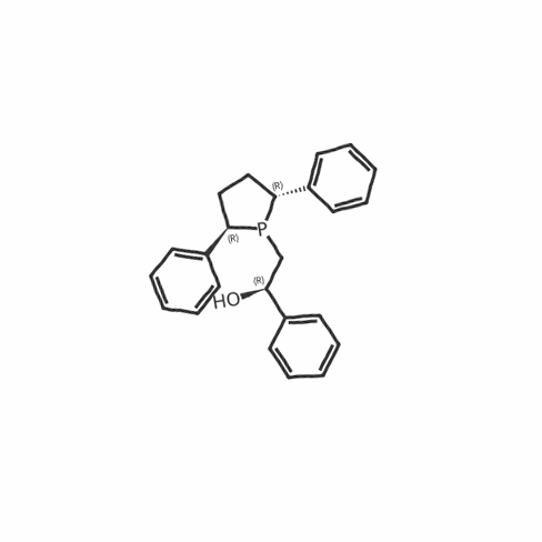 O[C@@H](CP1[C@@H](c2ccccc2)CC[C@@H]1c1ccccc1)c1ccccc1